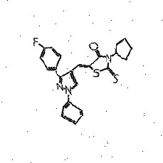 O=C1/C(=C/c2cn(-c3ccccc3)nc2-c2ccc(F)cc2)SC(=S)N1C1CCCC1